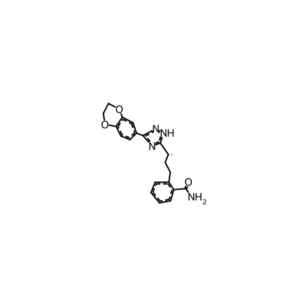 NC(=O)c1ccccc1CC[CH]c1nc(-c2ccc3c(c2)OCCO3)n[nH]1